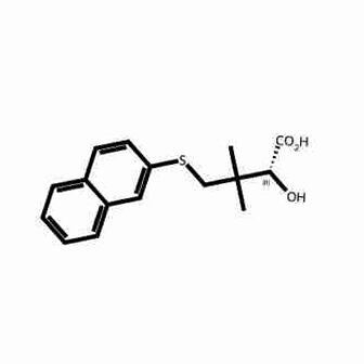 CC(C)(CSc1ccc2ccccc2c1)[C@@H](O)C(=O)O